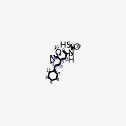 C=C(/C=C(/C=C/C1CCCCC1)C(=N/C)\OC)NC(=O)S